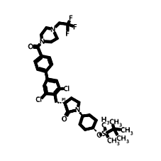 CC(C)(C)[Si](C)(C)O[C@H]1CC[C@H](N2CC[C@@H](Cc3c(Cl)cc(-c4ccc(C(=O)N5CCN(CC(F)(F)F)CC5)cc4)cc3Cl)C2=O)CC1